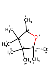 CC[C@@]1(C)OC(C)C(C)(C)C1(C)C